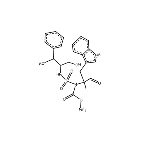 CC(C=O)(Cc1c[nH]c2ccccc12)N(C(=O)ON)S(=O)(=O)NC(CO)C(O)c1ccccc1